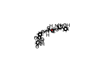 Nc1nnc(-c2ccccc2O)cc1OCC12CC(C1)C(C(=O)NCCOc1ccc3c(c1)C(=O)N(C1CCC(=O)NC1=O)C3=O)C2